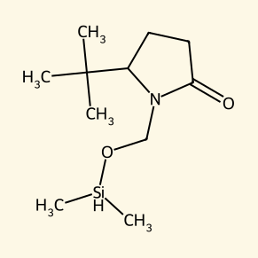 C[SiH](C)OCN1C(=O)CCC1C(C)(C)C